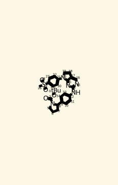 CC(C)(C)OC(=O)N1CCCC1c1ccc(Nc2ncc3ccn(-c4ccc(S(C)(=O)=O)cc4)c3n2)cc1